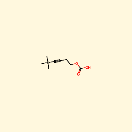 C[Si](C)(C)C#CCCOC(=O)O